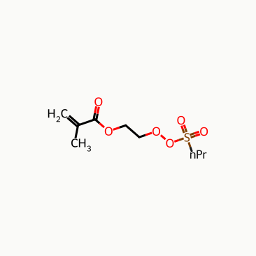 C=C(C)C(=O)OCCOOS(=O)(=O)CCC